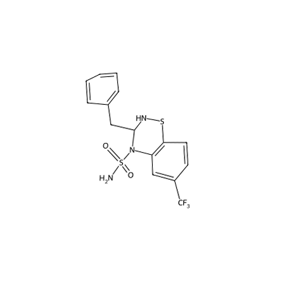 NS(=O)(=O)N1c2cc(C(F)(F)F)ccc2SNC1Cc1ccccc1